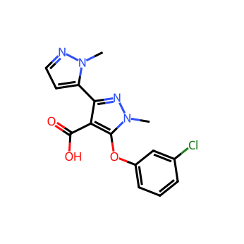 Cn1nccc1-c1nn(C)c(Oc2cccc(Cl)c2)c1C(=O)O